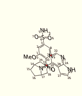 COc1cc(S(N)(=O)=O)ccc1C(=O)N1C2CCC1CN(c1ncnc3[nH]ccc13)C2